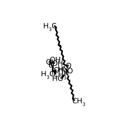 CCCCCCCCC=CCCCCCCCC(=O)NC(=O)N(CCO)CCCCCCCCCCC.C[N+](C)(C)CCOP(=O)(O)O